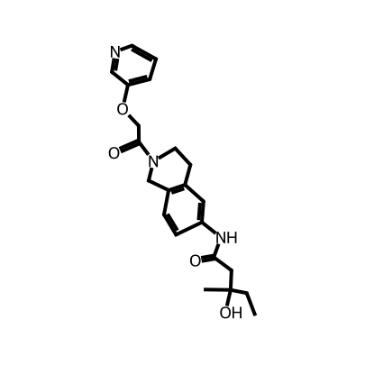 CCC(C)(O)CC(=O)Nc1ccc2c(c1)CCN(C(=O)COc1cccnc1)C2